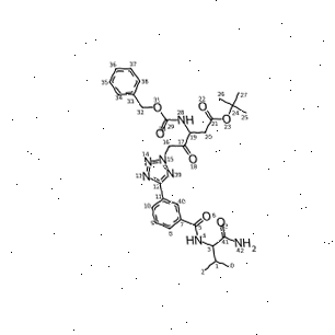 CC(C)C(NC(=O)c1cccc(-c2nnn(CC(=O)C(CC(=O)OC(C)(C)C)NC(=O)OCc3ccccc3)n2)c1)C(N)=O